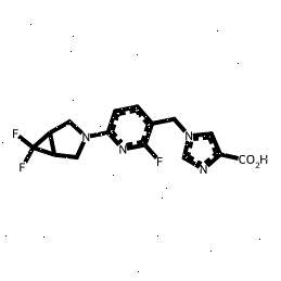 O=C(O)c1cn(Cc2ccc(N3CC4C(C3)C4(F)F)nc2F)cn1